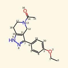 CCOc1ccc(-c2n[nH]c3c2CN(C(C)=O)CC3)cc1